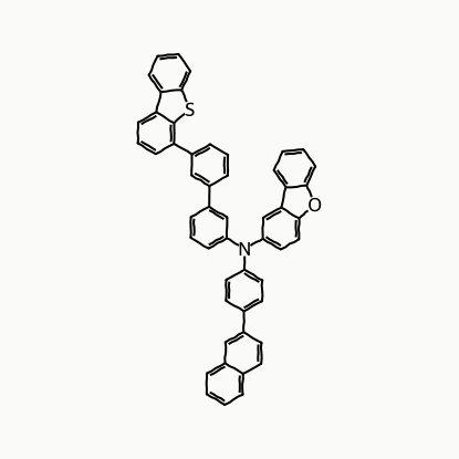 c1cc(-c2cccc(N(c3ccc(-c4ccc5ccccc5c4)cc3)c3ccc4oc5ccccc5c4c3)c2)cc(-c2cccc3c2sc2ccccc23)c1